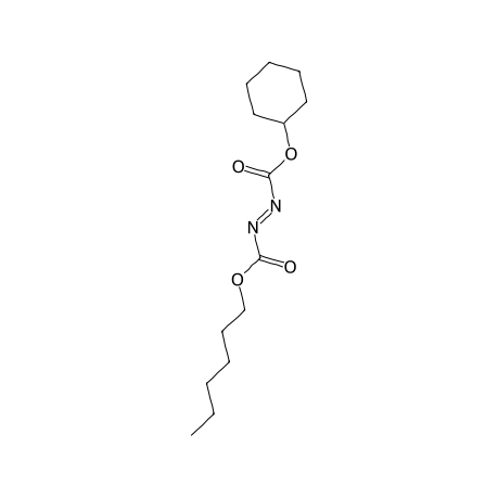 CCCCCCOC(=O)N=NC(=O)OC1CCCCC1